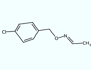 C/C=N/OCc1ccc(Cl)cc1